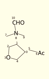 C1CCOC1.CC(C)=O.CN(C)C=O